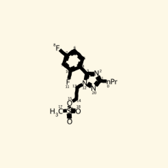 CCCc1nc(-c2ccc(F)cc2F)n(CCOS(C)(=O)=O)n1